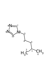 CC(C)CCCn1cnnc1